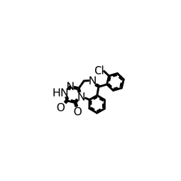 O=c1[nH]nc2n(c1=O)-c1ccccc1C(c1ccccc1Cl)=NC2